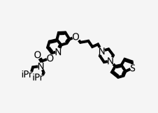 CC(C)CN(CC(C)C)C(=O)Oc1ccc2ccc(OCCCCN3CCN(c4cccc5sccc45)CC3)cc2n1